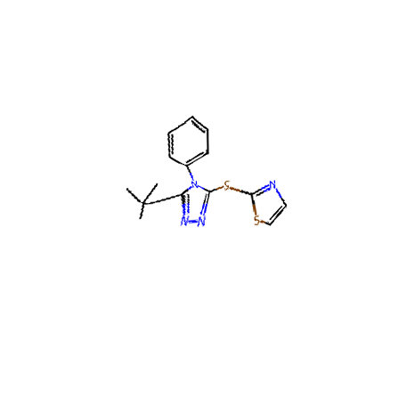 CC(C)(C)c1nnc(Sc2nccs2)n1-c1ccccc1